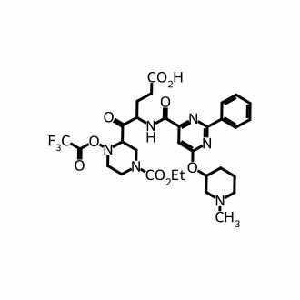 CCOC(=O)N1CCN(OC(=O)C(F)(F)F)C(C(=O)C(CCC(=O)O)NC(=O)c2cc(OC3CCCN(C)C3)nc(-c3ccccc3)n2)C1